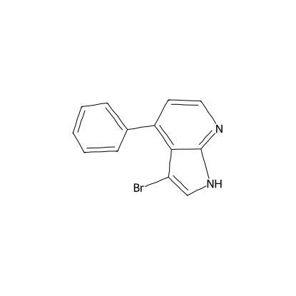 Brc1c[nH]c2nccc(-c3ccccc3)c12